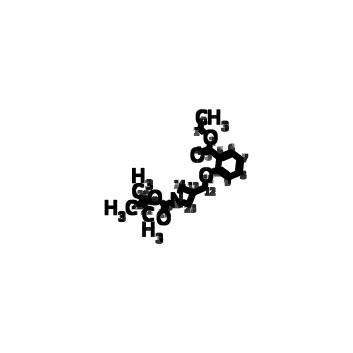 CCOC(=O)c1ccccc1OCC1CN(C(=O)OC(C)(C)C)C1